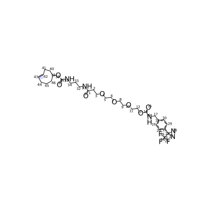 O=C(CCOCCOCCOCCOC(=O)NCc1ccc(C2(C(F)(F)F)N=N2)cc1)NCCCNC(=O)OC1CC/C=C/CCC1